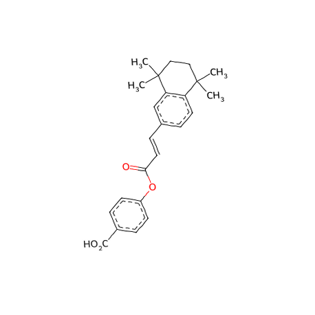 CC1(C)CCC(C)(C)c2cc(/C=C/C(=O)Oc3ccc(C(=O)O)cc3)ccc21